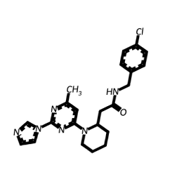 Cc1cc(N2CCCCC2CC(=O)NCc2ccc(Cl)cc2)nc(-n2ccnc2)n1